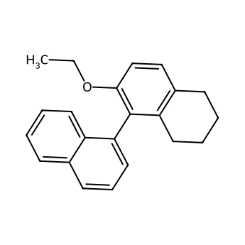 CCOc1ccc2c(c1-c1cccc3ccccc13)CCCC2